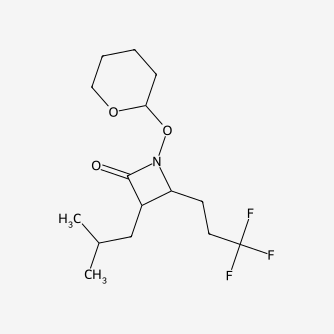 CC(C)CC1C(=O)N(OC2CCCCO2)C1CCC(F)(F)F